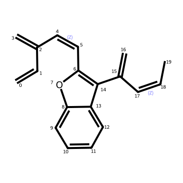 C=CC(=C)/C=C\c1oc2ccccc2c1C(=C)/C=C\C